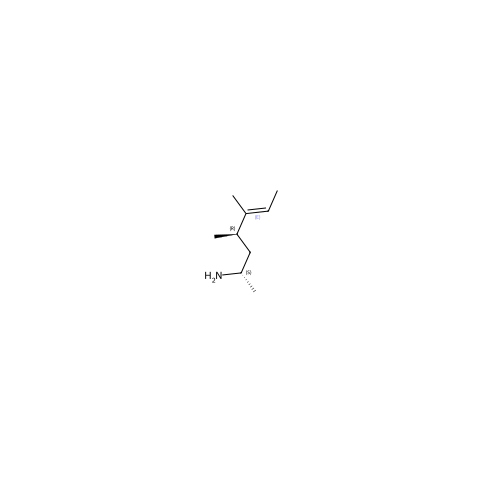 C/C=C(\C)[C@H](C)C[C@H](C)N